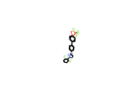 Fc1cccc(F)c1C1=N[C@H](c2ccc(-c3ccc(OC(F)(F)F)cc3)cc2)CC1